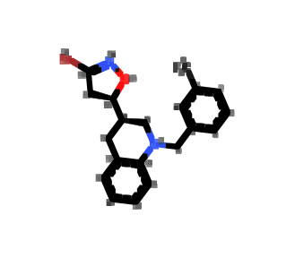 FC(F)(F)c1cccc(CN2C[C@H]([C@H]3CC(Br)=NO3)Cc3ccccc32)c1